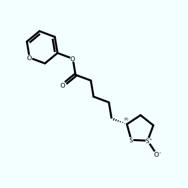 O=C(CCCC[C@@H]1CC[S+]([O-])S1)OC1=CC=COC1